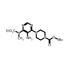 CCOC(=O)N(C)c1ncnc(N2CCN(C(=O)OC(C)(C)C)CC2)c1N